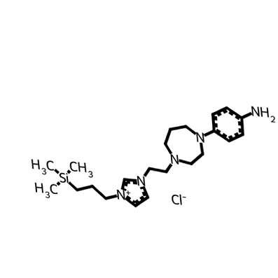 C[Si](C)(C)CCC[n+]1ccn(CCN2CCCN(c3ccc(N)cc3)CC2)c1.[Cl-]